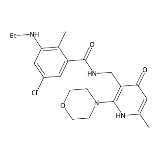 CCNc1cc(Cl)cc(C(=O)NCc2c(N3CCOCC3)[nH]c(C)cc2=O)c1C